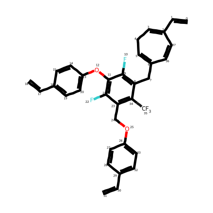 C=CC1=CCC=C(Cc2c(F)c(Oc3ccc(C=C)cc3)c(F)c(COc3ccc(C=C)cc3)c2C(F)(F)F)C=C1